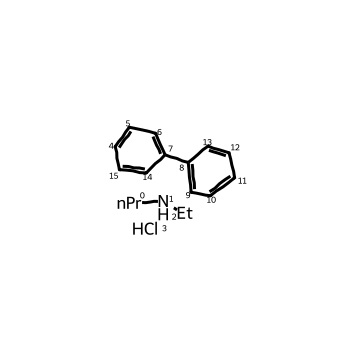 CCCNCC.Cl.c1ccc(-c2ccccc2)cc1